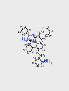 CN(Cc1ccc(C2=CC3=CC=CCC3C=C2C(=N/Cc2ccccc2)/N=C(\N)c2ccccc2)cc1)c1ccccc1N